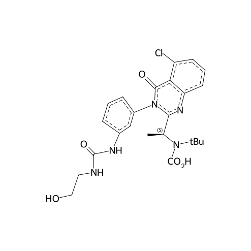 C[C@@H](c1nc2cccc(Cl)c2c(=O)n1-c1cccc(NC(=O)NCCO)c1)N(C(=O)O)C(C)(C)C